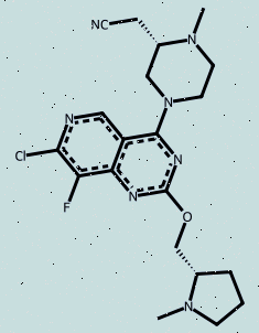 CN1CCC[C@H]1COc1nc(N2CCN(C)[C@@H](CC#N)C2)c2cnc(Cl)c(F)c2n1